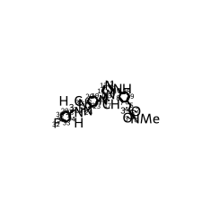 CNS(=O)(=O)CCc1ccc(Nc2nccc(N(C)c3ccc4c(c3)nc(NCc3ccc(F)cc3)n4C)n2)cc1